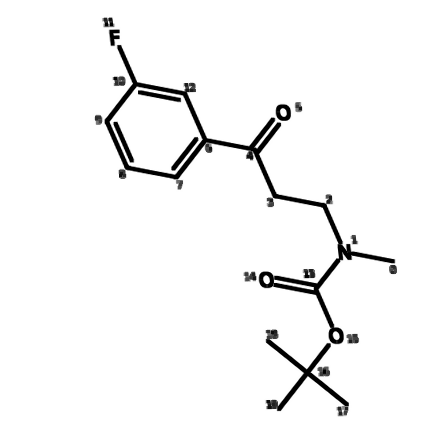 CN(CCC(=O)c1cccc(F)c1)C(=O)OC(C)(C)C